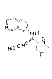 CNC(CC(C)C)C(=O)Nc1ccc2ccncc2c1.Cl.Cl